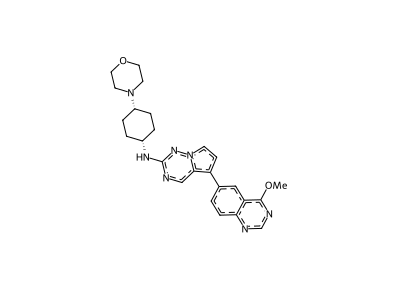 COc1ncnc2ccc(-c3ccn4nc(N[C@H]5CC[C@@H](N6CCOCC6)CC5)ncc34)cc12